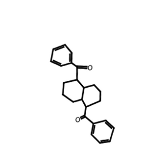 O=C(c1ccccc1)C1CCCC2C(C(=O)c3ccccc3)CCCC12